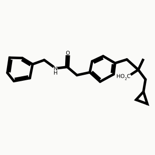 CC(Cc1ccc(CC(=O)NCc2ccccc2)cc1)(CC1CC1)C(=O)O